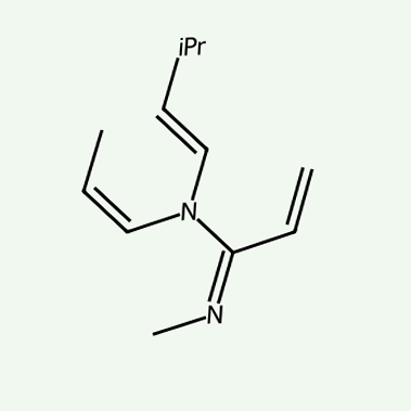 C=C/C(=N/C)N(/C=C\C)/C=C/C(C)C